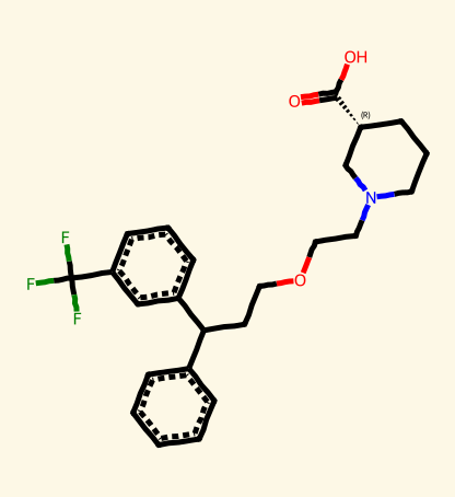 O=C(O)[C@@H]1CCCN(CCOCCC(c2ccccc2)c2cccc(C(F)(F)F)c2)C1